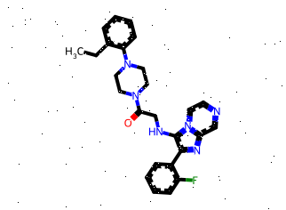 CCc1ccccc1N1CCN(C(=O)CNc2c(-c3ccccc3F)nc3cnccn23)CC1